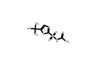 CC(=O)NS(=O)(=O)c1ncc(C(C)(C)O)s1